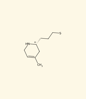 CC1=CCN[C@H](CCC[S])C1